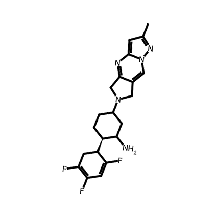 Cc1cc2nc3c(cn2n1)CN(C1CC[C@H](C2CC(F)=C(F)C=C2F)C(N)C1)C3